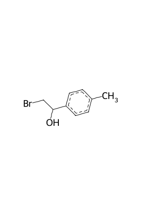 Cc1ccc(C(O)CBr)cc1